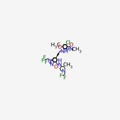 CNC(=O)c1cc(NCC#Cc2cc(C(=O)N[C@H]3CCN(CC(F)F)C[C@@H]3C)c3ncn(CC(F)(F)F)c3c2)c(OC)cc1Cl